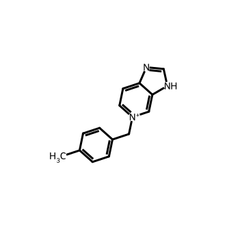 Cc1ccc(C[n+]2ccc3nc[nH]c3c2)cc1